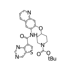 CC(C)(C)OC(=O)N1CCC(Oc2cc3ncccc3cc2NC(=O)c2csc3cncnc23)CC1